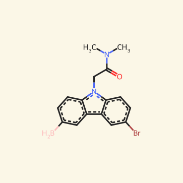 Bc1ccc2c(c1)c1cc(Br)ccc1n2CC(=O)N(C)C